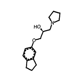 O[C@H](COc1ccc2c(c1)CCC2)CN1CCCC1